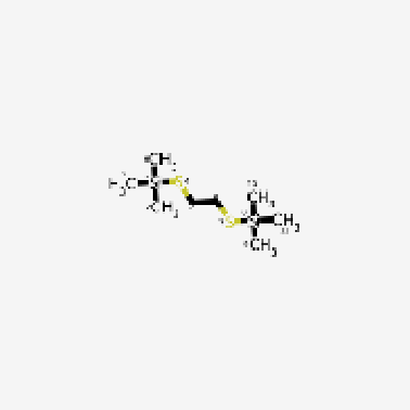 C[Si](C)(C)SCCS[Si](C)(C)C